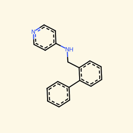 c1ccc(-c2ccccc2CNc2ccncc2)cc1